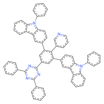 c1ccc(-c2nc(-c3ccccc3)nc(-c3cc(-c4ccc5c(c4)c4ccccc4n5-c4ccccc4)c(-c4cccnc4)c(-c4ccc5c(c4)c4ccccc4n5-c4ccccc4)c3)n2)cc1